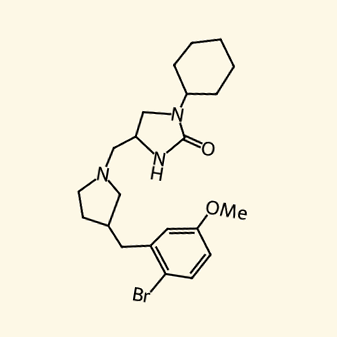 COc1ccc(Br)c(CC2CCN(CC3CN(C4CCCCC4)C(=O)N3)C2)c1